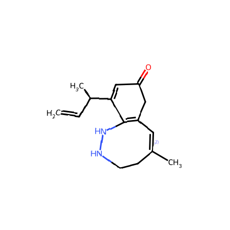 C=CC(C)C1=CC(=O)CC2=C1NNCC/C(C)=C\2